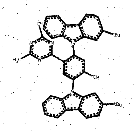 Cc1nc(C)nc(-c2cc(-n3c4ccccc4c4ccc(C(C)(C)C)cc43)c(C#N)cc2-n2c3ccccc3c3ccc(C(C)(C)C)cc32)n1